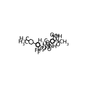 COc1cc(C(=O)O)c(NC(C)=O)cc1NS(=O)(=O)c1csc(-c2ccc(C3CCC(C)(C)CC3)cc2C(F)(F)F)n1